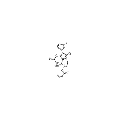 CC(C)(C)C1c2c(OC(N)=O)c(-c3cccc(F)c3)c(Cl)n2CCN1OC(N)=O